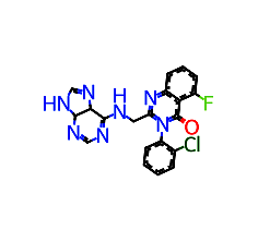 O=c1c2c(F)cccc2nc(CNC2=NC=NC3NC=NC23)n1-c1ccccc1Cl